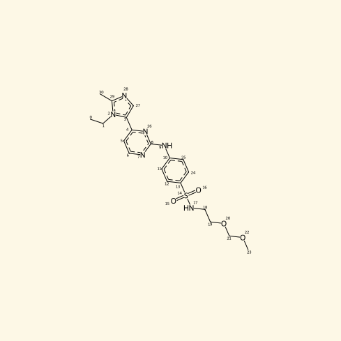 CCn1c(-c2ccnc(Nc3ccc(S(=O)(=O)NCCOCOC)cc3)n2)cnc1C